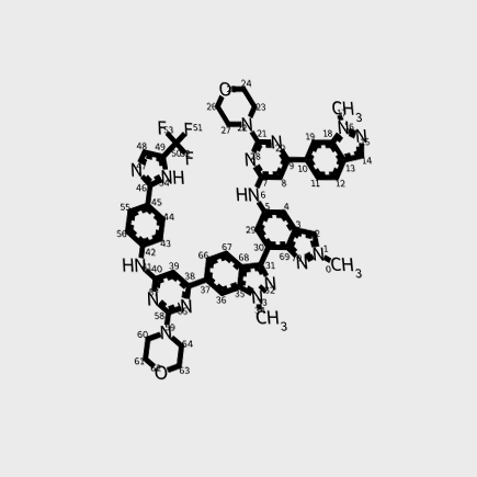 Cn1cc2cc(Nc3cc(-c4ccc5cnn(C)c5c4)nc(N4CCOCC4)n3)cc(-c3nn(C)c4cc(-c5cc(Nc6ccc(-c7ncc(C(F)(F)F)[nH]7)cc6)nc(N6CCOCC6)n5)ccc34)c2n1